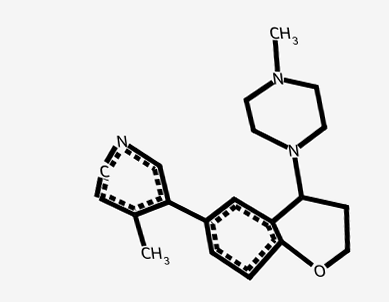 Cc1ccncc1-c1ccc2c(c1)C(N1CCN(C)CC1)CCO2